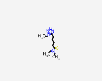 CCN(CC)C(=S)CCCCc1nnnn1CC